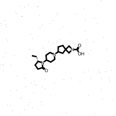 CC[C@H]1CCC(=O)N1C1CCN(C2CCC3(C2)CN(C(=O)O)C3)CC1